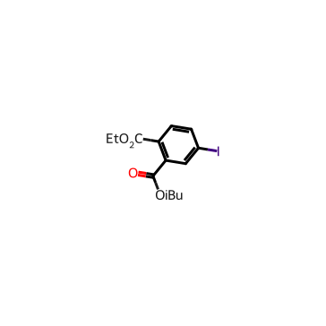 CCOC(=O)c1ccc(I)cc1C(=O)OCC(C)C